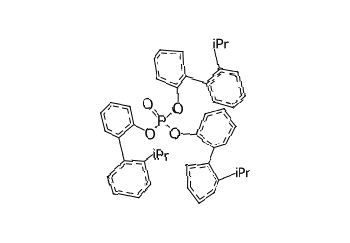 CC(C)c1ccccc1-c1ccccc1OP(=O)(Oc1ccccc1-c1ccccc1C(C)C)Oc1ccccc1-c1ccccc1C(C)C